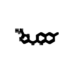 Cc1ccc2nc(Sc3cnc(N)s3)ccc2c1